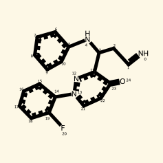 N=CCC(Nc1ccccc1)c1nn(-c2ccccc2F)ccc1=O